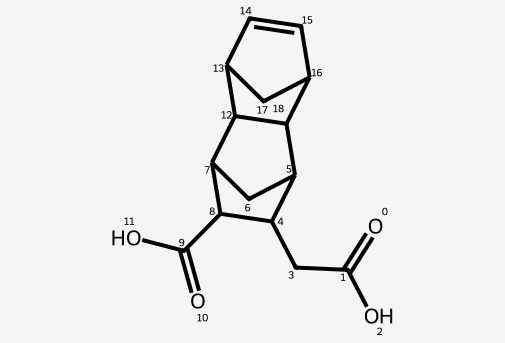 O=C(O)CC1C2CC(C1C(=O)O)C1C3C=CC(C3)C21